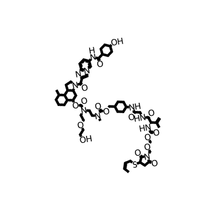 C=C(C)[C@H](NC(=O)OCOCN1C(=O)CC(SC/C=C\C)C1=O)C(=O)NCC(=O)NC1CCC(COC(=O)N(C)CCN(CCOCCO)C(=O)OC2CC3C(CCN3C(=O)c3cn4cc(NC(=O)C5CCC(O)CC5)ccc4n3)C3C(C)CCCC23)CC1